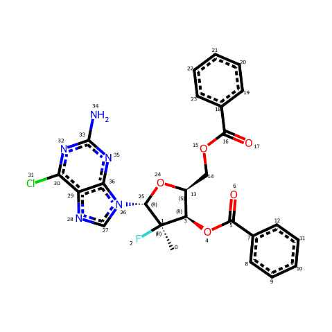 C[C@@]1(F)[C@H](OC(=O)c2ccccc2)[C@H](COC(=O)c2ccccc2)O[C@H]1n1cnc2c(Cl)nc(N)nc21